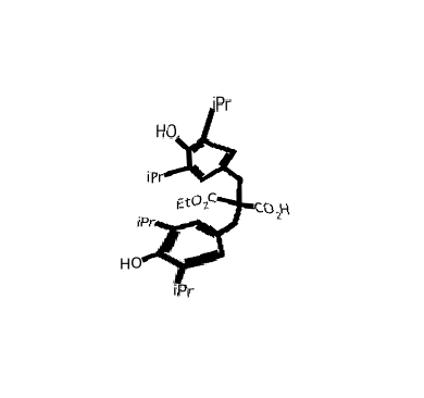 CCOC(=O)C(Cc1cc(C(C)C)c(O)c(C(C)C)c1)(Cc1cc(C(C)C)c(O)c(C(C)C)c1)C(=O)O